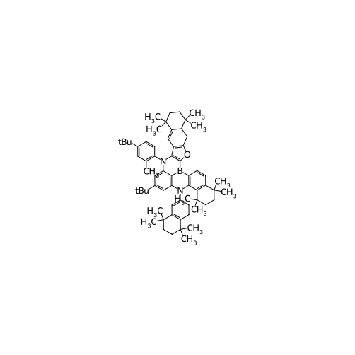 Cc1cc(C(C)(C)C)ccc1N1c2cc(C(C)(C)C)cc3c2B(c2ccc4c(c2N3C2=CC3=C(CC2)C(C)(C)CCC3(C)C)C(C)(C)CCC4(C)C)c2oc3c(c21)C=C1C(C3)C(C)(C)CCC1(C)C